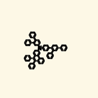 c1ccc(-c2ccc(-c3ccc(N(c4ccc(-c5ccccc5)c(-c5ccccc5)c4)c4ccc5c(-c6ccccc6)c(-c6ccccc6)c6ccccc6c5c4)cc3)c(-c3ccccc3)c2)cc1